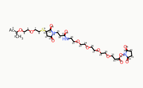 CC(=O)[C@H](C)OCCOCCSC1CC(=O)N(CCC(=O)NCCOCCOCCOCCOCCC(=O)ON2C(=O)CCC2=O)C1=O